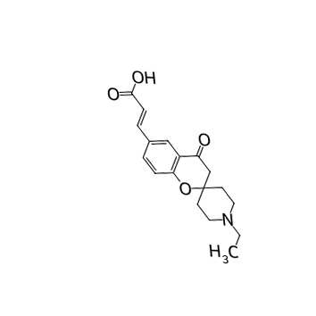 CCN1CCC2(CC1)CC(=O)c1cc(C=CC(=O)O)ccc1O2